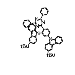 CC(C)(C)c1ccc2c(c1)c1ccccc1n2-c1ccc(-c2nc(-c3ccccc3)nc(-c3ccccc3)n2)c(-n2c3ccccc3c3cc(C(C)(C)C)ccc32)c1